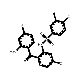 COc1cc(F)ccc1C(=O)c1ncc(Cl)cc1NS(=O)(=O)c1ccc(Cl)c(C)c1